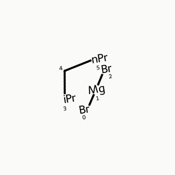 [Br][Mg][Br].[CH2]C(C)CCCC